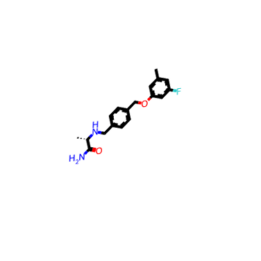 Cc1cc(F)cc(OCc2ccc(CN[C@@H](C)C(N)=O)cc2)c1